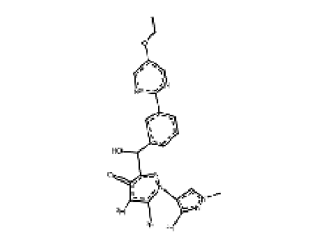 [2H]c1nn(C)cc1-n1nc(C(O)c2cccc(-c3ncc(OCC)cn3)c2)c(=O)c([2H])c1[2H]